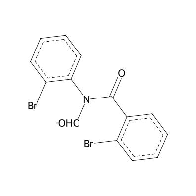 O=[C]N(C(=O)c1ccccc1Br)c1ccccc1Br